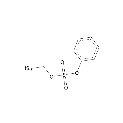 CC(C)(C)COS(=O)(=O)Oc1ccccc1